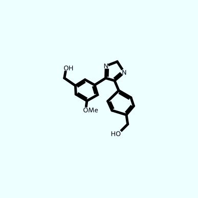 COc1cc(CO)cc(C2=NCN=C2c2ccc(CO)cc2)c1